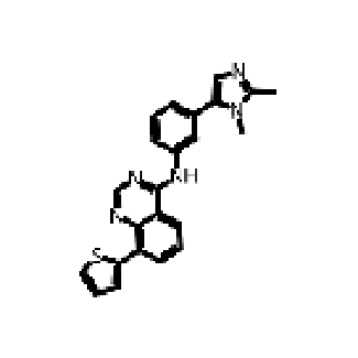 Cc1ncc(-c2cccc(Nc3ncnc4c(-c5cccs5)cccc34)c2)n1C